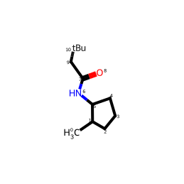 CC1CCCC1NC(=O)CC(C)(C)C